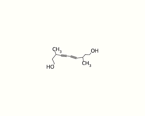 CC(C#CC#CC(C)CCO)CCO